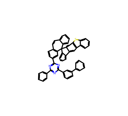 C1=Cc2ccc(-c3nc(-c4ccccc4)nc(-c4cccc(-c5ccccc5)c4)n3)cc2C2(c3ccccc31)c1ccccc1-c1cc3c(cc12)sc1ccccc13